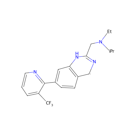 CCN(CC1=N[CH]c2ccc(-c3ncccc3C(F)(F)F)cc2N1)C(C)C